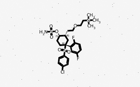 C[Si](C)(C)CCOCC[C@@H]1C[C@](c2cc(F)ccc2F)(S(=O)(=O)c2ccc(Cl)cc2)CC[C@@H]1OS(N)(=O)=O